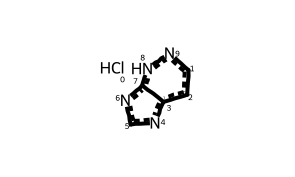 Cl.c1cc2ncnc-2[nH]n1